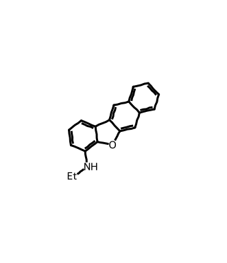 CCNc1cccc2c1oc1cc3ccccc3cc12